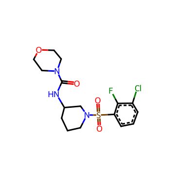 O=C(NC1CCCN(S(=O)(=O)c2cccc(Cl)c2F)C1)N1CCOCC1